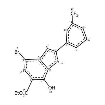 CCOC(=O)c1nc(Br)c2cc(-c3cccc(C(F)(F)F)c3)sc2c1O